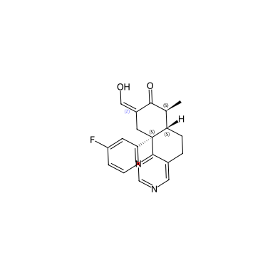 C[C@@H]1C(=O)/C(=C\O)C[C@]2(c3cccc(F)c3)c3ncncc3CC[C@@H]12